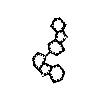 [c]1c(-c2cccc3oc4ccccc4c23)ccc2oc3ccccc3c12